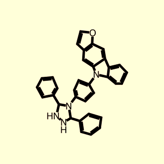 c1ccc(C2NNC(c3ccccc3)N2c2ccc(-n3c4ccccc4c4cc5occc5cc43)cc2)cc1